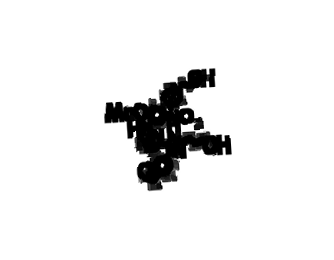 COc1cc(N2CCN(CCO)CC2)c([N+](=O)[O-])cc1Nc1nccc(-c2[nH]c(CCCO)nc2-c2ccc3ccoc3c2)n1